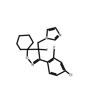 Fc1cc(Cl)ccc1C1=NOC2(CCCCC2)C1(F)Cn1ccnc1